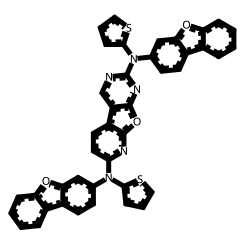 c1csc(N(c2ccc3c(c2)oc2ccccc23)c2ccc3c(n2)oc2nc(N(c4ccc5c(c4)oc4ccccc45)c4cccs4)ncc23)c1